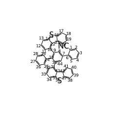 N#Cc1ccccc1-c1cc(-c2cccc3sc4ccccc4c23)c(-c2ccccc2)c(-c2cccc3sc4ccccc4c23)c1